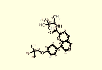 CC(NC(=O)c1ccc2cncc(-c3ccc(OCC(F)(F)F)cc3)c2n1)C(C)(C)O